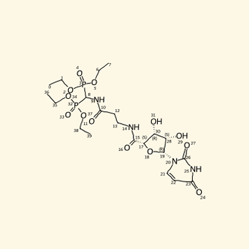 CCOP(=O)(OCC)C(NC(=O)CCNC(=O)[C@H]1O[C@@H](n2ccc(=O)[nH]c2=O)[C@@H](O)[C@H]1O)P(=O)(OCC)OCC